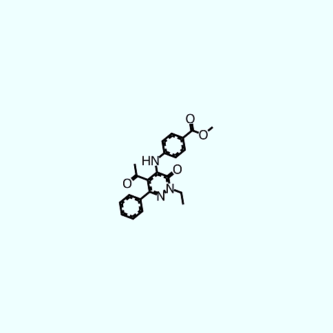 CCn1nc(-c2ccccc2)c(C(C)=O)c(Nc2ccc(C(=O)OC)cc2)c1=O